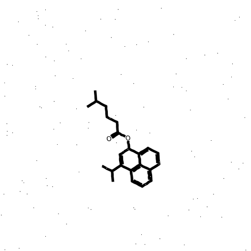 CC(C)CCCC(=O)OC1C=C(C(C)C)c2cccc3cccc1c23